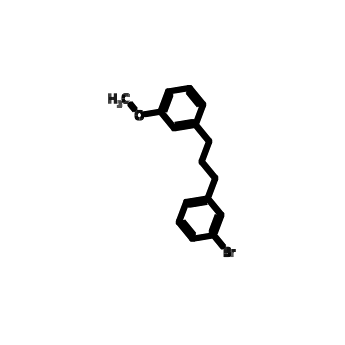 COc1cccc(CCCc2cccc(Br)c2)c1